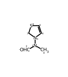 CN([C]=O)N1C=CSC1